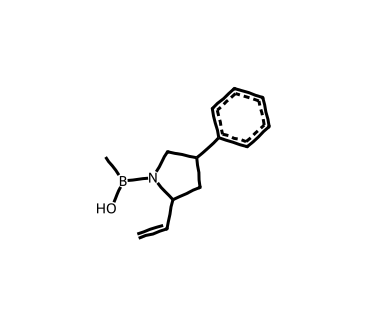 C=CC1CC(c2ccccc2)CN1B(C)O